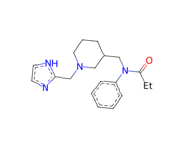 CCC(=O)N(CC1CCCN(Cc2ncc[nH]2)C1)c1ccccc1